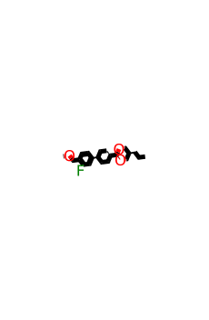 CCC[C@H]1CO[C@H]([C@H]2CC[C@H](c3ccc(COC)c(F)c3)CC2)OC1